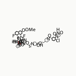 COCOc1cc(-c2ncc3c(N4CC5CCC(C4)N5C(=O)OC(C)(C)C)nc(OCC4(CN5CCC(O)(COCCC6CCN(C(=O)c7ccc(Cl)c(N8CCC(=O)NC8=O)c7)CC6)CC5)CC4)nc3c2F)c2c(C#C[Si](C(C)C)(C(C)C)C(C)C)c(F)ccc2c1